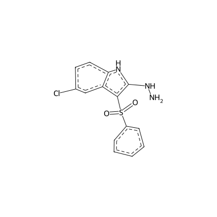 NNc1[nH]c2ccc(Cl)cc2c1S(=O)(=O)c1ccccc1